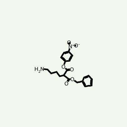 NCCCCC(C(=O)OCc1ccccc1)C(=O)Oc1ccc([N+](=O)[O-])cc1